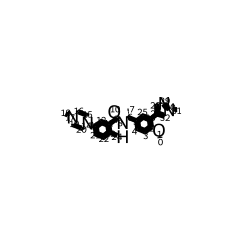 COc1ccc([C@@H](C)NC(=O)c2cc(N3CCN(C)CC3)ccc2C)cc1-c1cnn(C)c1